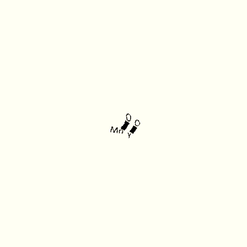 [O]=[Mn].[O]=[Y]